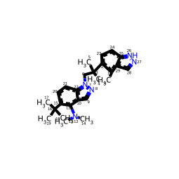 Cc1c(C(C)(C)Cn2ncc3c(N(C)C)c(C(C)(C)C)ccc32)ccc2[nH]ncc12